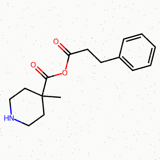 CC1(C(=O)OC(=O)CCc2ccccc2)CCNCC1